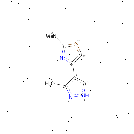 CNc1nc(-c2c[nH]nc2C)cs1